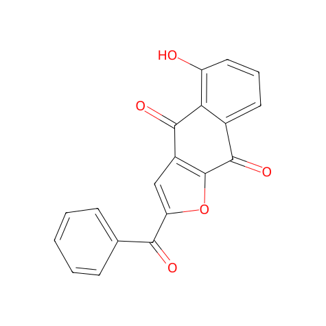 O=C(c1ccccc1)c1cc2c(o1)C(=O)c1cccc(O)c1C2=O